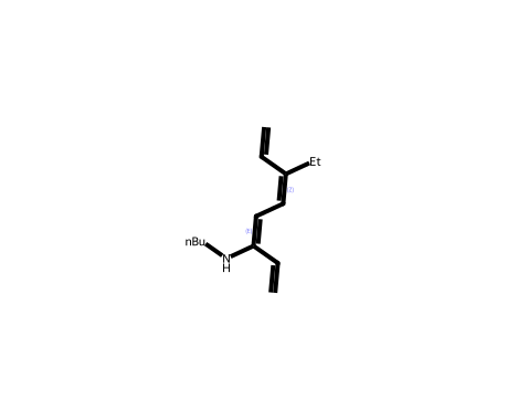 C=C/C(=C\C=C(/C=C)NCCCC)CC